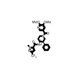 COc1cc(C(=O)N2CC[C@@H](NC(=O)c3cc(C(F)(F)F)nn3C)[C@H](c3ccccc3)C2)cnc1OC